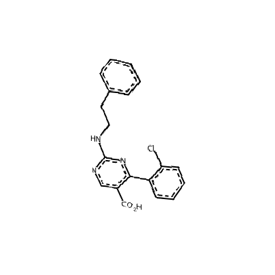 O=C(O)c1cnc(NCCc2ccccc2)nc1-c1ccccc1Cl